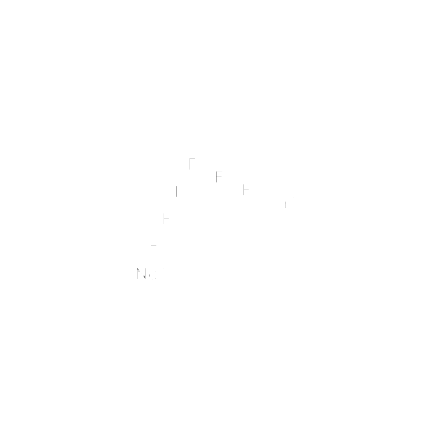 [F-].[F-].[F-].[F-].[F-].[F-].[La+3].[Nd+3]